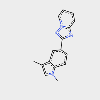 Cc1cn(C)c2ccc(-c3nc4ccccn4n3)cc12